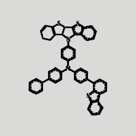 C1=CC2=C(CC1)C1C(S2)c2sc3ccccc3c2N1c1ccc(N(c2ccc(-c3ccccc3)cc2)c2ccc(-c3cccc4c3sc3ccccc34)cc2)cc1